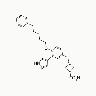 O=C(O)C1CN(Cc2ccc(OCCCCCc3ccccc3)c(-c3cn[nH]c3)c2)C1